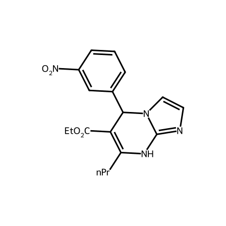 CCCC1=C(C(=O)OCC)C(c2cccc([N+](=O)[O-])c2)n2ccnc2N1